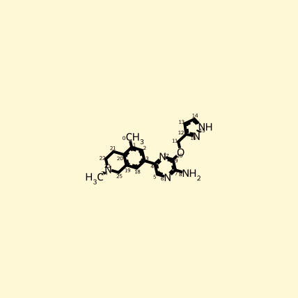 Cc1cc(-c2cnc(N)c(OCc3cc[nH]n3)n2)cc2c1CCN(C)C2